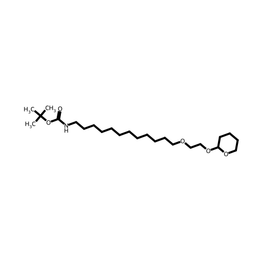 CC(C)(C)OC(=O)NCCCCCCCCCCCCOCCOC1CCCCO1